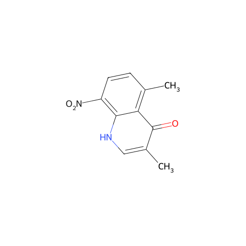 Cc1c[nH]c2c([N+](=O)[O-])ccc(C)c2c1=O